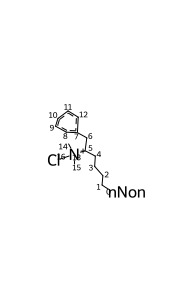 CCCCCCCCCCCCCC(Cc1ccccc1)[N+](C)(C)Cl